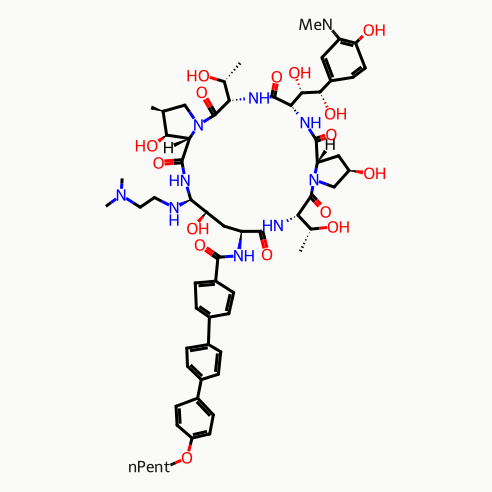 CCCCCOc1ccc(-c2ccc(-c3ccc(C(=O)N[C@H]4C[C@@H](O)[C@@H](NCCN(C)C)NC(=O)[C@@H]5[C@@H](O)[C@@H](C)CN5C(=O)[C@H]([C@@H](C)O)NC(=O)[C@H]([C@H](O)[C@@H](O)c5ccc(O)c(NC)c5)NC(=O)[C@@H]5C[C@@H](O)CN5C(=O)[C@H]([C@@H](C)O)NC4=O)cc3)cc2)cc1